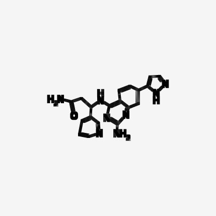 NC(=O)CC(Nc1nc(N)nc2cc(-c3ccn[nH]3)ccc12)c1cccnc1